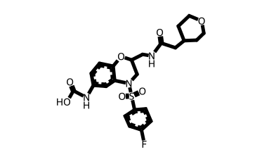 O=C(O)Nc1ccc2c(c1)N(S(=O)(=O)c1ccc(F)cc1)CC(CNC(=O)CC1CCOCC1)O2